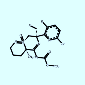 CC(C)(C)OC(=O)NC1=N[C@](CF)(c2nc(Br)ccc2F)C[S@]2(=O)=NCCC[C@]12C